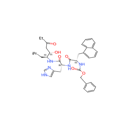 CCC(=O)C[C@H](O)[C@H](CC(C)C)NC(=O)[C@@H](Cc1c[nH]cn1)NC(=O)[C@H](Cc1cccc2ccccc12)NC(=O)OCc1ccccc1